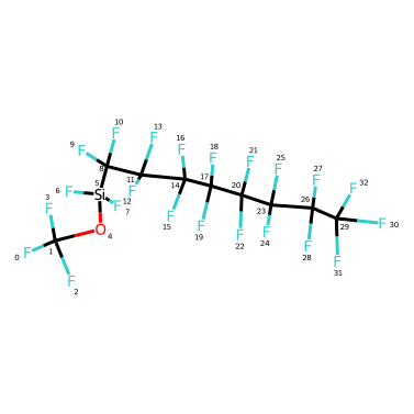 FC(F)(F)O[Si](F)(F)C(F)(F)C(F)(F)C(F)(F)C(F)(F)C(F)(F)C(F)(F)C(F)(F)C(F)(F)F